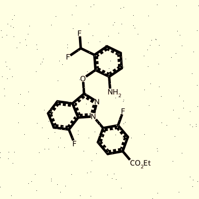 CCOC(=O)c1ccc(-n2nc(Oc3c(N)cccc3C(F)F)c3cccc(F)c32)c(F)c1